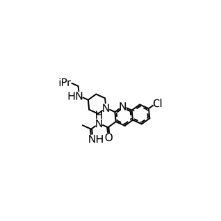 CC(=N)NC(=O)c1cc2ccc(Cl)cc2nc1N1CCC(NCC(C)C)CC1